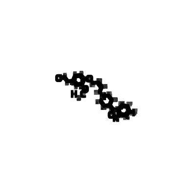 COc1cc(CC=O)ccc1OC/C=C\CN1CCC(c2onc3cc(F)ccc23)CC1